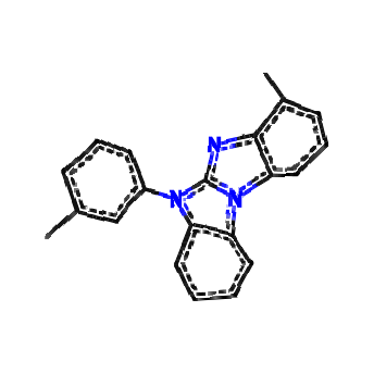 Cc1cccc(-n2c3ccccc3n3c4cccc(C)c4nc23)c1